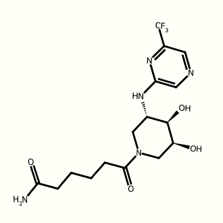 NC(=O)CCCCC(=O)N1C[C@H](Nc2cncc(C(F)(F)F)n2)[C@@H](O)[C@@H](O)C1